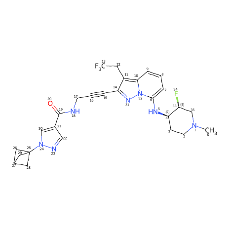 CN1CC[C@@H](Nc2cccc3c(CC(F)(F)F)c(C#CCNC(=O)c4cnn(C56CC(C5)C6)c4)nn23)[C@@H](F)C1